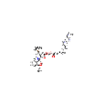 CC/C=C\C/C=C\C/C=C\C/C=C\C/C=C\CCCC(=O)OCOC(=O)CC1CN(Cc2c(F)cccc2C(=O)C2CC2)CCC1SCOC